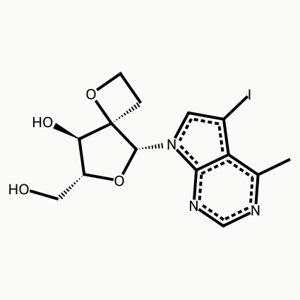 Cc1ncnc2c1c(I)cn2[C@@H]1O[C@H](CO)[C@@H](O)[C@]12CCO2